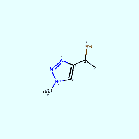 CCCCn1cc(C(C)S)nn1